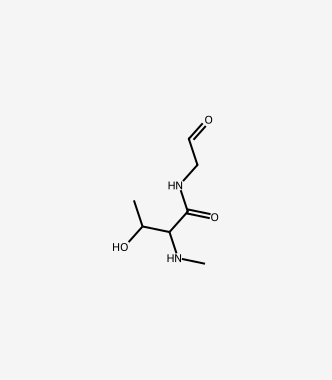 CNC(C(=O)NCC=O)C(C)O